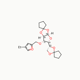 CCc1coc(CO[C@@H]2[C@H]3OC4(CCCC4)O[C@H]3O[C@@H]2[C@H]2COC3(CCCC3)O2)c1